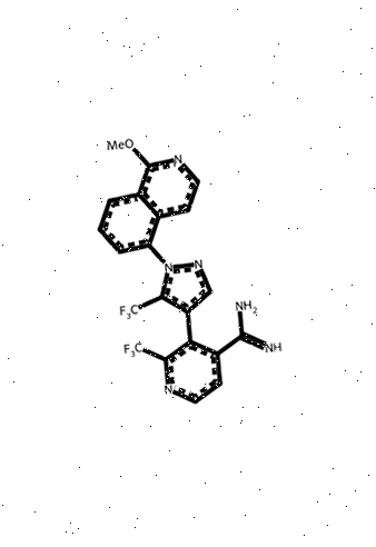 COc1nccc2c(-n3ncc(-c4c(C(=N)N)ccnc4C(F)(F)F)c3C(F)(F)F)cccc12